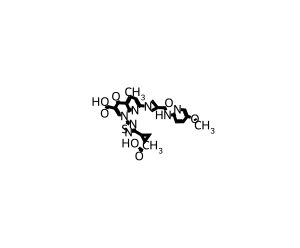 CC(=O)O.COc1ccc(NC(=O)C2CN(c3cc(C)c4c(=O)c(C(=O)O)cn(-c5nc(C6CC6)ns5)c4n3)C2)nc1